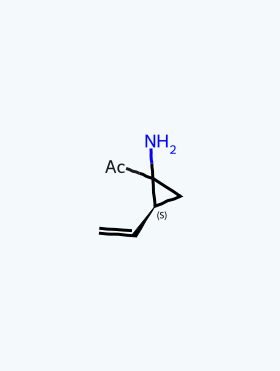 C=C[C@@H]1CC1(N)C(C)=O